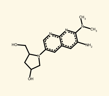 CN(C)c1nc2ncc(N3CC(O)CC3CO)cc2cc1N